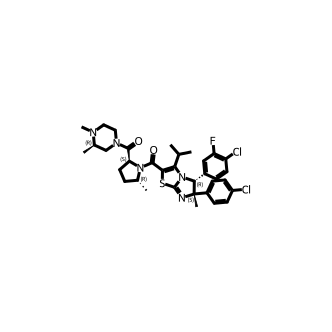 CC(C)C1=C(C(=O)N2[C@H](C)CC[C@H]2C(=O)N2CCN(C)[C@H](C)C2)SC2=N[C@@](C)(c3ccc(Cl)cc3)[C@@H](c3ccc(Cl)c(F)c3)N21